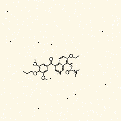 CCCOc1c(OC)cc(C(=O)c2cncc3c(SC(=O)N(C)C)c(OCC)ccc23)cc1OC